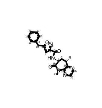 C[C@H]1C[C@@H](NC(=O)c2cc(Cc3ccccc3)on2)C(=O)N(C)c2nccnc21